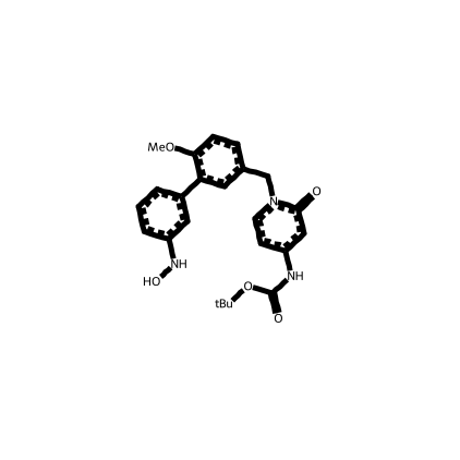 COc1ccc(Cn2ccc(NC(=O)OC(C)(C)C)cc2=O)cc1-c1cccc(NO)c1